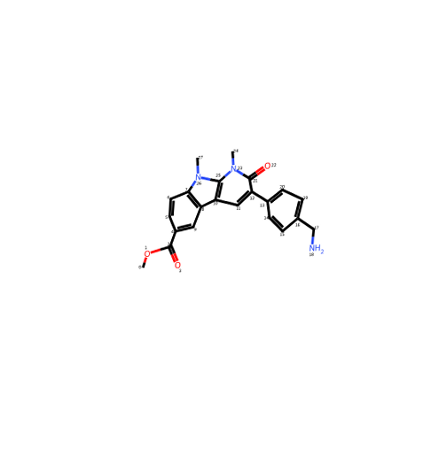 COC(=O)c1ccc2c(c1)c1cc(-c3ccc(CN)cc3)c(=O)n(C)c1n2C